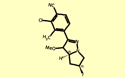 COC1C(c2ccc(C#N)c(Cl)c2C)=NN2C[C@@H](I)C[C@@H]12